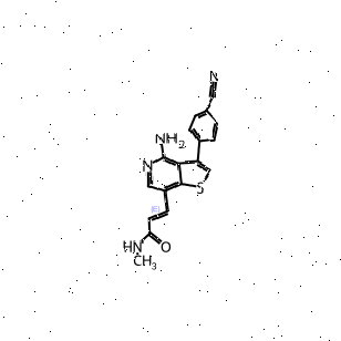 CNC(=O)/C=C/c1cnc(N)c2c(-c3ccc(C#N)cc3)csc12